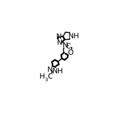 Cc1nc2ccc(-c3ccc4c(c3)CN(c3ncnc5c3CNCC5)CCO4)cc2[nH]1